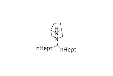 CCCCCCCC(CCCCCCC)N1CC2CCC(C1)N2